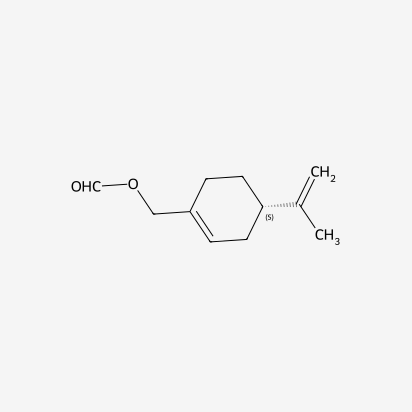 C=C(C)[C@@H]1CC=C(COC=O)CC1